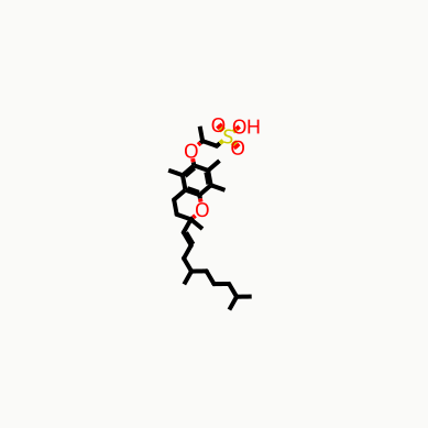 Cc1c(C)c2c(c(C)c1OC(C)CS(=O)(=O)O)CCC(C)(/C=C/CC(C)CCCC(C)C)O2